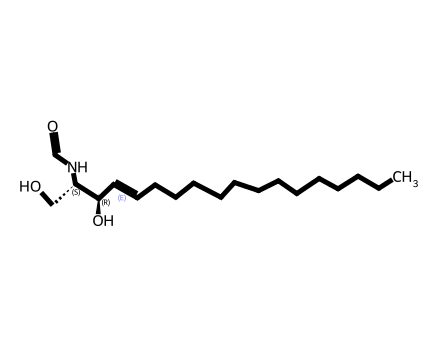 CCCCCCCCCCCCC/C=C/[C@@H](O)[C@H](CO)NC=O